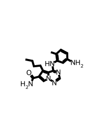 CCCCc1c(C(N)=O)cn2ncnc(Nc3cc(N)ccc3C)c12